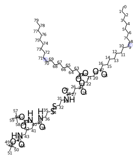 CCCCCCCC/C=C\CCCCCCCC(=O)OCC(COC(=O)CCC(=O)NCCSSCCNC(=O)C(CCCNC(=O)OC(C)(C)C)NC(=O)OC(C)(C)C)OC(=O)CCCCCCC/C=C\CCCCCCCC